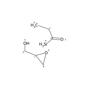 CCC(=O)[SiH3].OCC1CO1